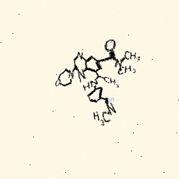 C/N=C\c1cccc(NC(C)c2cc(C(=O)N(C)C)cc3ncc(N4CCOCC4)nc23)c1